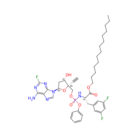 C#C[C@]1(COP(=O)(N[C@@H](Cc2cc(F)cc(F)c2)C(=O)OCCCCCCCCCCCCCC)Oc2ccccc2)O[C@@H](n2cnc3c(N)nc(F)nc32)C[C@@H]1O